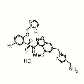 CCc1ccc(OCc2ncc[nH]2)c(S(=O)(=O)Nc2noc3cc(Cn4cc(CN)cn4)cc(OC)c23)c1.Cl